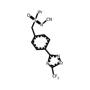 CC(C)S(=O)(Cc1ccc(-c2noc(C(F)(F)F)n2)cc1)=NC#N